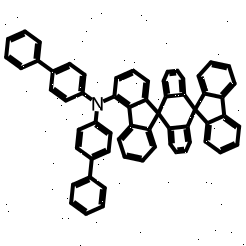 c1ccc(-c2ccc(N(c3ccc(-c4ccccc4)cc3)c3cccc4c3-c3ccccc3C43c4ccccc4C4(c5ccccc5-c5ccccc54)c4ccccc43)cc2)cc1